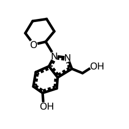 OCc1nn(C2CCCCO2)c2ccc(O)cc12